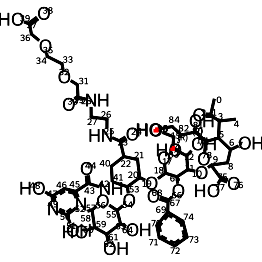 CC(=O)C(C)C1C(O)CC(OC2C(O)C(CO)OC(OC3CC(C(=O)NCCNC(=O)COCCOCC(=O)O)CC(NC(=O)c4cc(O)nc(O)n4)C3OC3OC(C)C(O)C(O)C3O)C2OC(=O)c2ccccc2)(C(=O)O)OC1[C@H](O)[C@H](O)CO